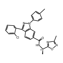 Cc1ccc(-n2nc(-c3ccccc3Cl)c3ccc(C(=O)N[C@H](C)c4nc(C)no4)cc32)cc1